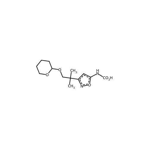 CC(C)(COC1CCCCO1)c1cc(NC(=O)O)on1